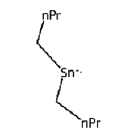 CCC[CH2][Sn-][CH2]CCC